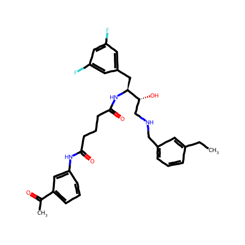 CCc1cccc(CNC[C@@H](O)[C@H](Cc2cc(F)cc(F)c2)NC(=O)CCCC(=O)Nc2cccc(C(C)=O)c2)c1